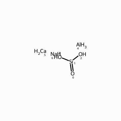 O=[Si](O)O.[AlH3].[CaH2].[NaH]